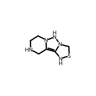 C1CN2NN3CSNC3=C2CN1